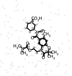 Cc1cc2c(cc1C(=O)N(C(C)C)[C@@H]1CCCN(C(=O)O)C1)N(CCOC(=O)N(C)C)C(=O)C(C)(C)O2